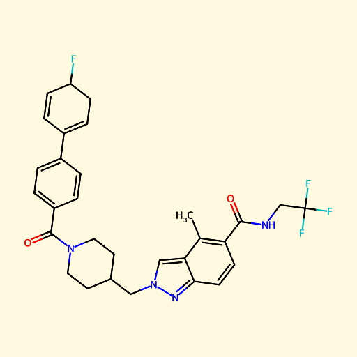 Cc1c(C(=O)NCC(F)(F)F)ccc2nn(CC3CCN(C(=O)c4ccc(C5=CCC(F)C=C5)cc4)CC3)cc12